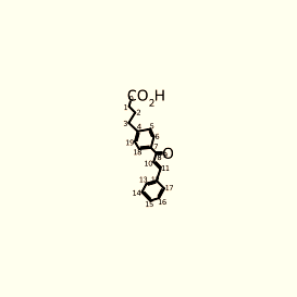 O=C(O)CCCc1ccc(C(=O)/C=C/c2ccccc2)cc1